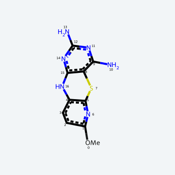 COc1ccc2c(n1)Sc1c(N)nc(N)nc1N2